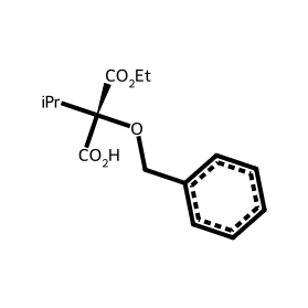 CCOC(=O)[C@@](OCc1ccccc1)(C(=O)O)C(C)C